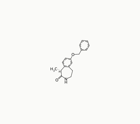 C[C@H]1C(=O)NCCc2cc(OCc3ccccc3)ccc21